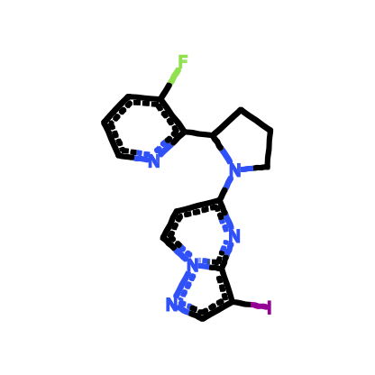 Fc1cccnc1C1CCCN1c1ccn2ncc(I)c2n1